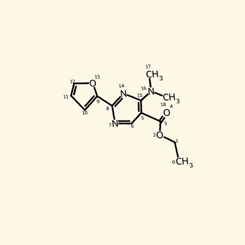 CCOC(=O)c1cnc(-c2ccco2)nc1N(C)C